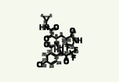 O=C(NC1CC1)C(=O)C(C[C@@H]1CCNC1=O)NC(=O)c1cc(Cl)ccc1NC(=O)C(F)(F)F